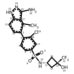 Cc1c(-c2ccc(S(=O)(=O)N[C@H]3C[C@](O)(C(F)(F)F)C3)cc2Cl)ccc2[nH]nc(N)c12